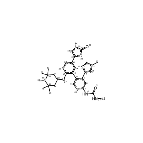 CCNC(=O)Nc1cc(-c2nc(C)cs2)c(-c2cc(-c3n[nH]c(=O)o3)cnc2OC2CC(C)(C)N(C)C(C)(C)C2)cn1